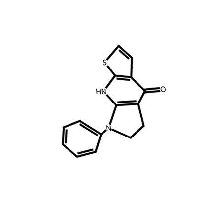 O=c1c2c([nH]c3sccc13)N(c1ccccc1)CC2